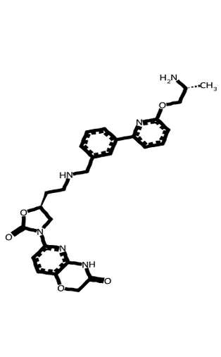 C[C@@H](N)COc1cccc(-c2cccc(CNCC[C@H]3CN(c4ccc5c(n4)NC(=O)CO5)C(=O)O3)c2)n1